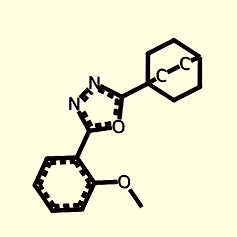 COc1ccccc1-c1nnc(C23CCC(CC2)CC3)o1